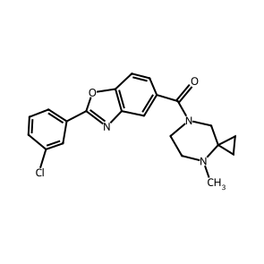 CN1CCN(C(=O)c2ccc3oc(-c4cccc(Cl)c4)nc3c2)CC12CC2